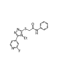 CCn1c(SCC(=O)Nc2ccccc2)nnc1-c1ccnc(F)c1